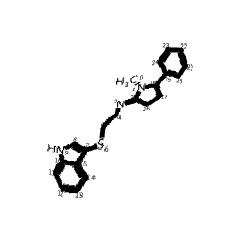 CN1C(=NCCSc2c[nH]c3ccccc23)CCC1c1ccccc1